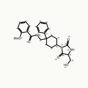 COc1ccccc1C(=O)NCC1(c2ccccc2)CCC(N2C(=O)NC(CO)C2=O)CC1